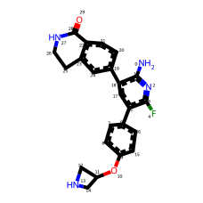 Nc1nc(F)c(-c2ccc(OC3CNC3)cc2)cc1-c1ccc2c(c1)CCNC2=O